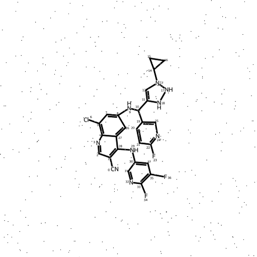 N#Cc1cnc2c(Cl)cc(NC(C3=CN(C4CC4)NN3)c3ccc(F)nc3)cc2c1Nc1cnc(F)c(F)c1